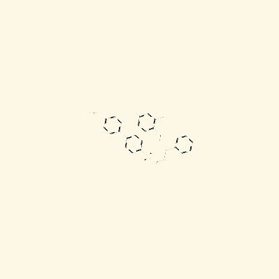 COc1ccc(-c2ccc(S(=O)(=O)NC(C(=O)O)C(SCc3ccc(F)cc3F)c3ccccc3)cc2)cc1